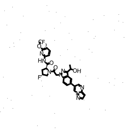 CC(O)c1nn(CC(=O)N2C[C@H](F)C[C@H]2C(=O)Nc2cccc(OC(F)(F)F)n2)c2ccc(-c3cnc4ccnn4c3)cc12